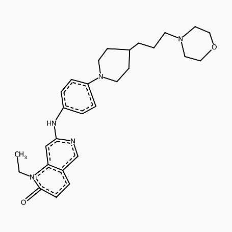 CCn1c(=O)ccc2cnc(Nc3ccc(N4CCC(CCCN5CCOCC5)CC4)cc3)cc21